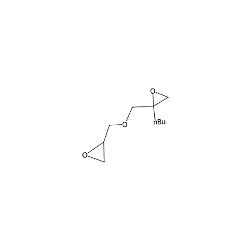 CCCCC1(COCC2CO2)CO1